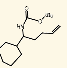 C=CCCC(NC(=O)OC(C)(C)C)C1CCCCC1